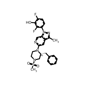 Cc1nn(-c2ccc(F)c(O)c2F)c2cnc(N3CCN(S(C)(=O)=O)C[C@H]3Cc3ccccc3)cc12